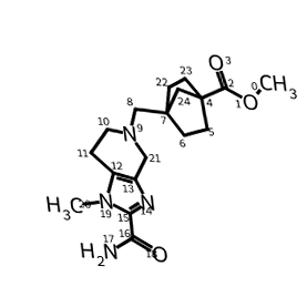 COC(=O)C12CCC(CN3CCc4c(nc(C(N)=O)n4C)C3)(CC1)C2